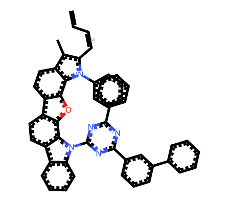 C=C/C=C\c1c(C)c2ccc3c4ccc5c6ccccc6n(-c6nc(-c7ccccc7)nc(-c7cccc(-c8ccccc8)c7)n6)c5c4oc3c2n1-c1ccccc1